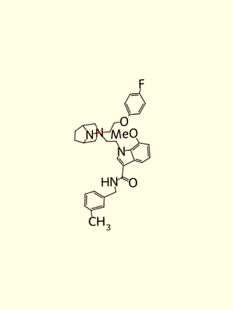 COc1cccc2c(C(=O)NCc3cccc(C)c3)cn(CCCN3C4CCC3CN(CCOc3ccc(F)cc3)C4)c12